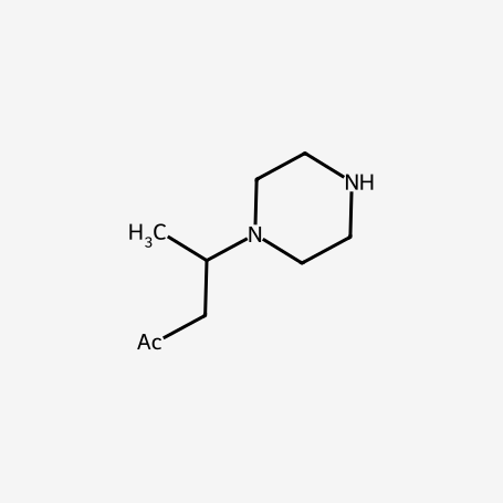 CC(=O)CC(C)N1CCNCC1